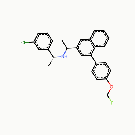 CC(N[C@H](C)c1cccc(Cl)c1)c1cc(-c2ccc(OCF)cc2)c2ccccc2c1